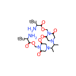 CC(C(C)N1CC(=O)N(COC(=O)C(N)C(C)(C)C)C(=O)C1)N1CC(=O)N(COC(=O)C(N)C(C)(C)C)C(=O)C1